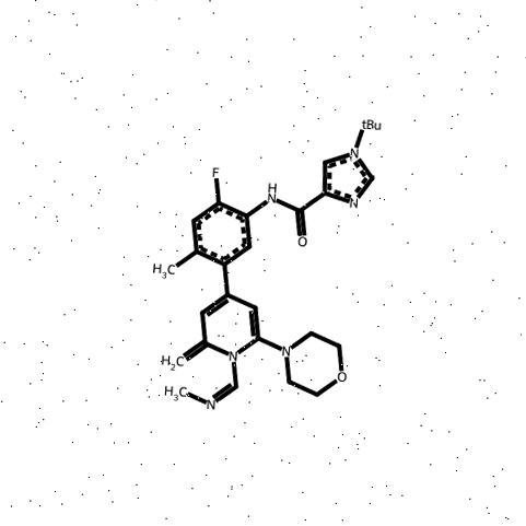 C=C1C=C(c2cc(NC(=O)c3cn(C(C)(C)C)cn3)c(F)cc2C)C=C(N2CCOCC2)N1/C=N\C